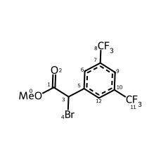 COC(=O)C(Br)c1cc(C(F)(F)F)cc(C(F)(F)F)c1